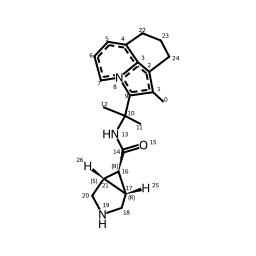 Cc1c2c3c(cccn3c1C(C)(C)NC(=O)[C@H]1[C@@H]3CNC[C@@H]31)CCC2